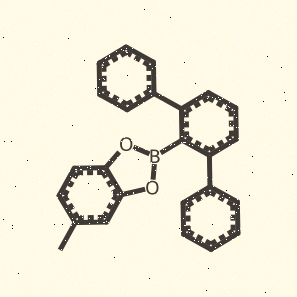 Cc1ccc2c(c1)OB(c1c(-c3ccccc3)cccc1-c1ccccc1)O2